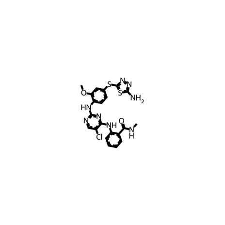 CNC(=O)c1ccccc1Nc1nc(Nc2ccc(Sc3nnc(N)s3)cc2OC)ncc1Cl